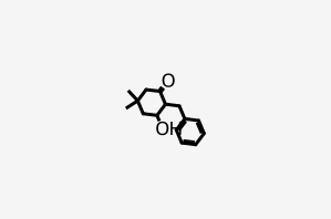 CC1(C)CC(=O)C(Cc2ccccc2)C(O)C1